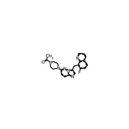 CC(=O)N1CCN(c2ccc3ncc(Cc4c(F)ccc5cccnc45)n3n2)CC1